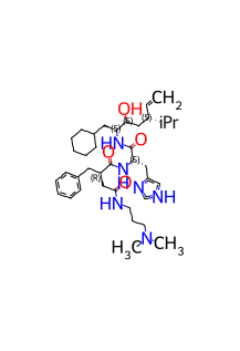 C=C[C@@H](C[C@H](O)[C@H](CC1CCCCC1)NC(=O)[C@H](Cc1c[nH]cn1)NC(=O)[C@@H](CC(=O)NCCCN(C)C)Cc1ccccc1)C(C)C